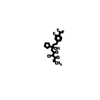 COC(=O)C(Cl)C(=O)CC(O)(CCc1ccc(C(F)F)c(F)c1)C1CCCC1